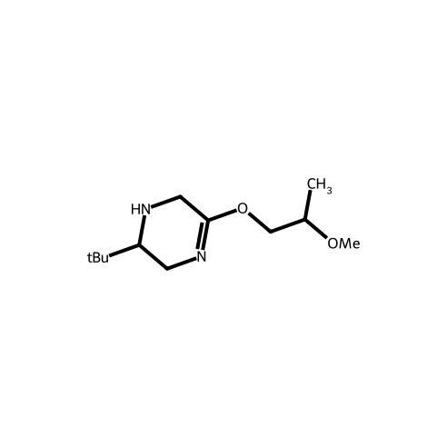 COC(C)COC1=NCC(C(C)(C)C)NC1